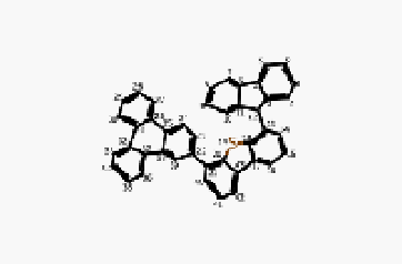 c1ccc2c(c1)-c1ccccc1C2c1cccc2c1sc1c(-c3ccc4c5ccccc5c5ccccc5c4c3)cccc12